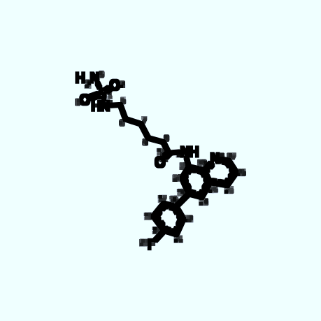 NS(=O)(=O)NCCCCCC(=O)Nc1cc(-c2ccc(F)cc2)cc2cccnc12